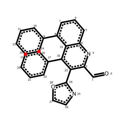 O=Cc1nc2cccc(-c3ccccc3)c2c(-c2ccccc2)c1-c1ncco1